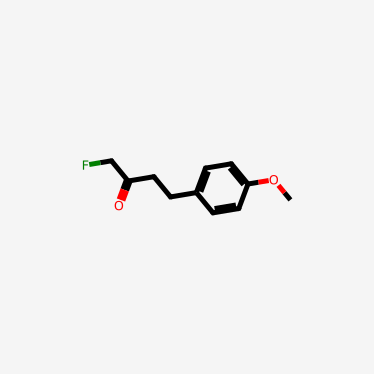 COc1ccc(CCC(=O)CF)cc1